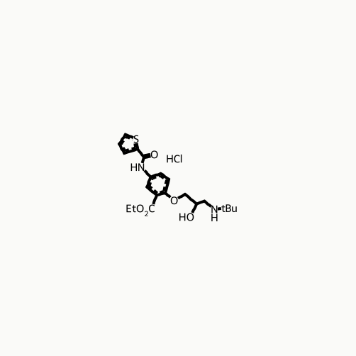 CCOC(=O)c1cc(NC(=O)c2cccs2)ccc1OCC(O)CNC(C)(C)C.Cl